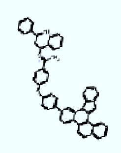 C=C(CC(/N=C(\C)c1ccc(Oc2ccc(-c3ccc4c(c3)C3C(=Cc5ccccc53)c3c-4ccc4ccccc34)cc2)cc1)c1ccccc1)c1ccccc1